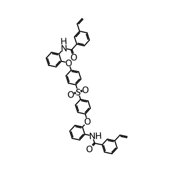 C=Cc1cccc(C(=O)Nc2ccccc2Oc2ccc(S(=O)(=O)c3ccc(Oc4ccccc4NC(=O)c4cccc(C=C)c4)cc3)cc2)c1